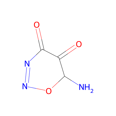 NC1ON=NC(=O)C1=O